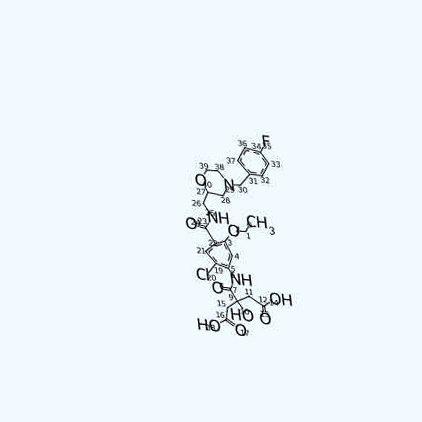 CCOc1cc(NC(=O)C(O)(CC(=O)O)CC(=O)O)c(Cl)cc1C(=O)NCC1CN(Cc2ccc(F)cc2)CCO1